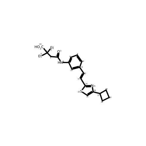 CCC(CC)(CC(=O)Nc1cccc(C=Cc2nc(C3CCC3)cs2)c1)C(=O)O